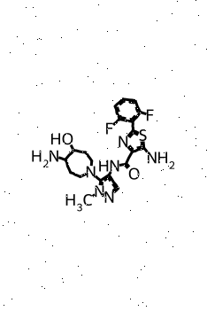 Cn1ncc(NC(=O)c2nc(-c3c(F)cccc3F)sc2N)c1N1CCC(N)C(O)CC1